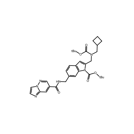 CC(C)(C)OC(=O)N(Cc1cc2ccc(CNC(=O)c3cnn4ccnc4c3)cc2n1C(=O)OC(C)(C)C)CC1CCC1